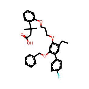 CCc1cc(-c2ccc(F)cc2)c(OCc2ccccc2)cc1OCCCOc1ccccc1C(C)(C)CC(=O)O